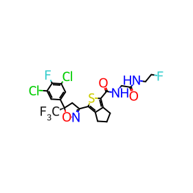 O=C(CNC(=O)c1sc(C2=NO[C@@](c3cc(Cl)c(F)c(Cl)c3)(C(F)(F)F)C2)c2c1CCC2)NCCF